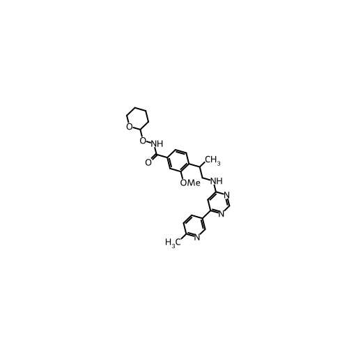 COc1cc(C(=O)NOC2CCCCO2)ccc1C(C)CNc1cc(-c2ccc(C)nc2)ncn1